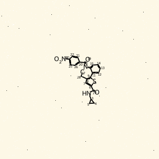 O=C(NC1CC1)c1cc2c(s1)-c1ccccc1N(C(=O)c1ccc([N+](=O)[O-])cc1)CC2